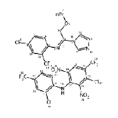 CCCOC/C(=N\c1ccc(Cl)cc1C(F)(F)F)n1ccnc1.O=[N+]([O-])c1cc(C(F)(F)F)c(Cl)c([N+](=O)[O-])c1Nc1ncc(C(F)(F)F)cc1Cl